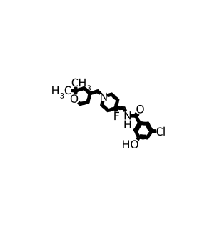 CC1(C)CC(CN2CCC(F)(CNC(=O)c3cc(O)cc(Cl)c3)CC2)CCO1